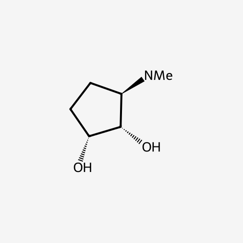 CN[C@@H]1CC[C@@H](O)[C@H]1O